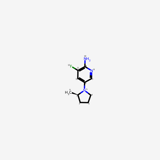 C[C@@H]1CCCN1c1cnc(N)c(F)c1